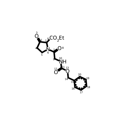 CCOC(=O)C1C(=O)CCN1C(=O)CNC(=O)OCc1ccccc1